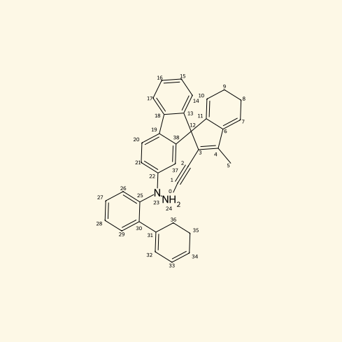 CC#CC1=C(C)C2=CCCC=C2C12c1ccccc1-c1ccc(N(N)c3ccccc3C3=CC=CCC3)cc12